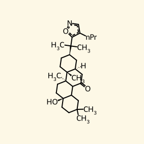 CCCc1cnoc1C(C)(C)[C@@H]1CC[C@]2(C)[C@H](CC(=O)C3C4CC(C)(C)CC[C@]4(O)CC[C@]32C)C1